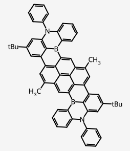 Cc1cc2c3c(cc4c(C)cc5c6c(cc1c3c46)B1c3ccccc3N(c3ccccc3)c3cc(C(C)(C)C)cc-5c31)B1c3ccccc3N(c3ccccc3)c3cc(C(C)(C)C)cc-2c31